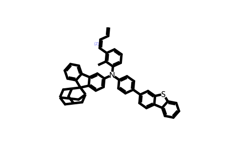 C=C/C=C\c1cccc(N(c2ccc(-c3ccc4c(c3)sc3ccccc34)cc2)c2ccc3c(c2)-c2ccccc2C32C3CC4CC(C3)CC2C4)c1C